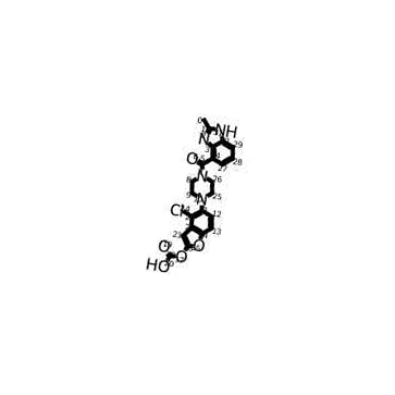 Cc1nc2c(C(=O)N3CCN(c4ccc5oc(OC(=O)O)cc5c4Cl)CC3)cccc2[nH]1